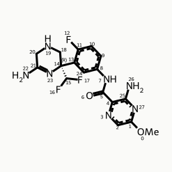 COc1cnc(C(=O)Nc2ccc(F)c([C@]3(C(F)F)CNCC(N)=N3)c2)c(N)n1